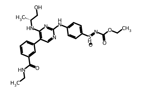 CCNC(=O)c1cccc(-c2cnc(Nc3ccc(/[SH](=O)=N/C(=O)OCC)cc3)nc2N[C@H](C)CO)c1